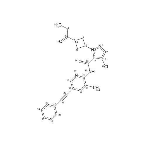 CCC(=O)N1CC(n2ncc(Cl)c2C(=O)Nc2ncc(C#Cc3ccccc3)cc2C)C1